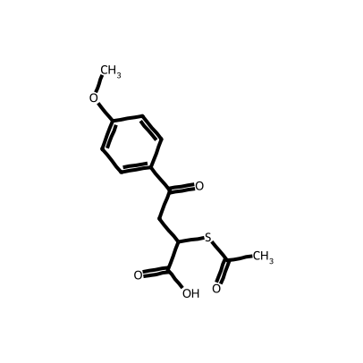 COc1ccc(C(=O)CC(SC(C)=O)C(=O)O)cc1